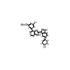 COc1cc(F)cc(-c2nccc3[nH]c(-c4n[nH]c5ccc(C6=CCNCC6)cc45)nc23)c1